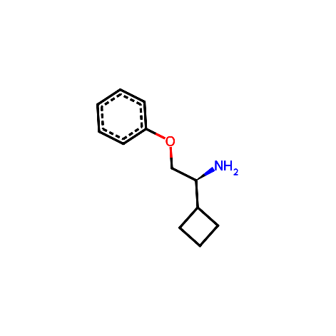 N[C@H](COc1ccccc1)C1CCC1